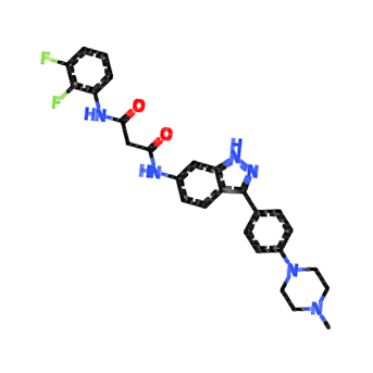 CN1CCN(c2ccc(-c3n[nH]c4cc(NC(=O)CC(=O)Nc5cccc(F)c5F)ccc34)cc2)CC1